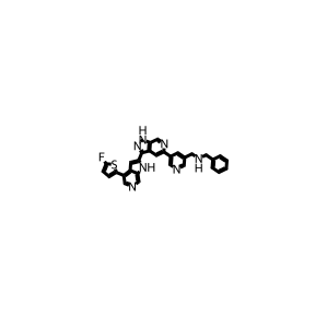 Fc1ccc(-c2cncc3[nH]c(-c4n[nH]c5cnc(-c6cncc(CNCc7ccccc7)c6)cc45)cc23)s1